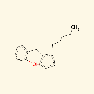 CCCCCc1ccccc1Cc1ccccc1O